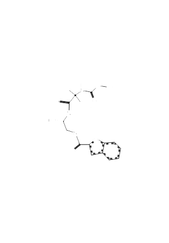 CC(C)[C@@H](CNC(=O)c1cc2ccccc2o1)NC(=O)C(C)(C)NC(=O)OC(C)(C)C